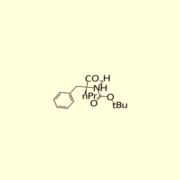 CCC[C@](Cc1ccccc1)(NC(=O)OC(C)(C)C)C(=O)O